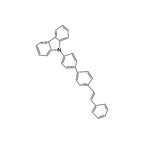 C(=C\c1ccc(-c2ccc(-n3c4ccccc4c4ccccc43)cc2)cc1)/c1ccccc1